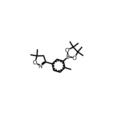 Cc1ccc(C2=NOC(C)(C)C2)cc1B1OC(C)(C)C(C)(C)O1